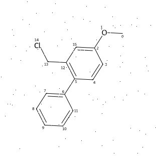 COc1ccc(-c2ccccc2)c(CCl)c1